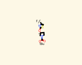 CC(C)(C)OC(=O)N1CC[C@H](Oc2nc(C(F)(F)F)cs2)C1